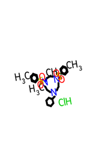 C=C1CN(S(=O)(=O)c2ccc(C)cc2)CCCN(CC2CCCCC2)CCC(C)N(S(=O)(=O)c2ccc(C)cc2)C1.Cl